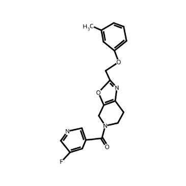 Cc1cccc(OCc2nc3c(o2)CN(C(=O)c2cncc(F)c2)CC3)c1